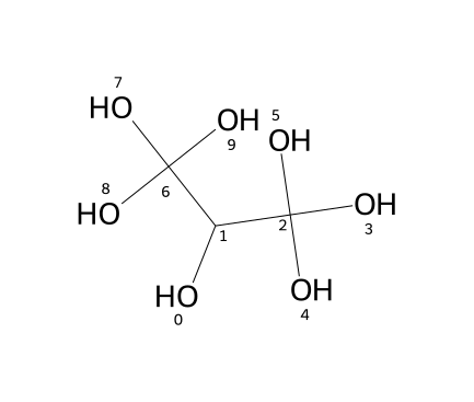 OC(C(O)(O)O)C(O)(O)O